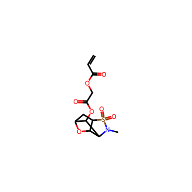 C=CC(=O)OCC(=O)OC1C2CC3C(O2)C1N(C)S3(=O)=O